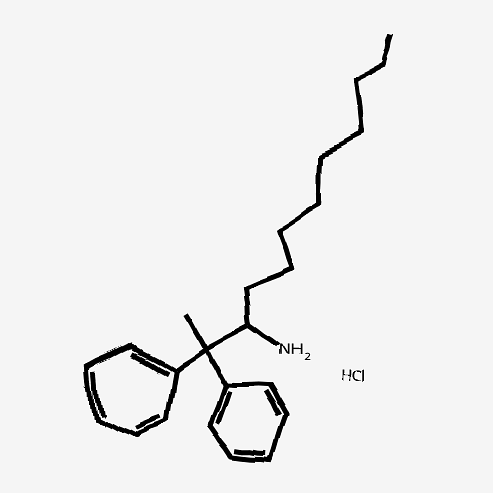 CCCCCCCCCC(N)C(C)(c1ccccc1)c1ccccc1.Cl